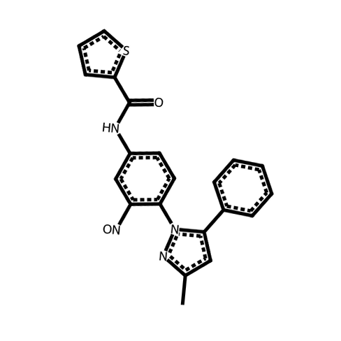 Cc1cc(-c2ccccc2)n(-c2ccc(NC(=O)c3cccs3)cc2N=O)n1